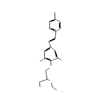 COCOC(CCl)COc1c(Cl)cc(/C=C/c2ccc(O)cc2)cc1Cl